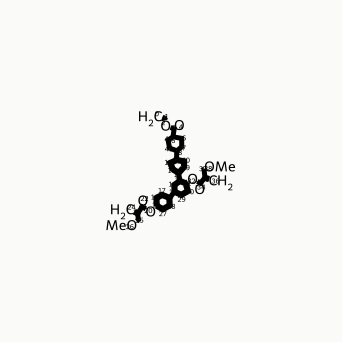 C=COC(=O)C1CCC(c2ccc(-c3cc(-c4ccc(OC(=O)C(=C)COC)cc4)ccc3OC(=O)C(=C)COC)cc2)CC1